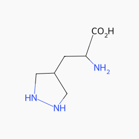 NC(CC1CNNC1)C(=O)O